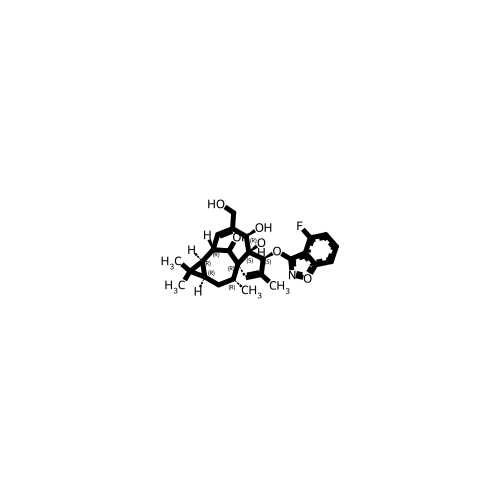 CC1=C[C@]23C(O)[C@@H](C=C(CO)[C@@H](O)[C@]2(O)[C@H]1Oc1noc2cccc(F)c12)[C@H]1[C@@H](C[C@H]3C)C1(C)C